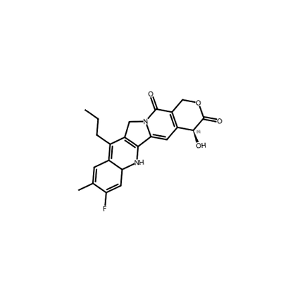 CCCC1=C2C=C(C)C(F)=CC2NC2=C1Cn1c2cc2c(c1=O)COC(=O)[C@H]2O